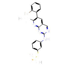 CS(=O)(=O)Sc1cccc(Nc2ncc3cc(-c4ccccc4Br)c(C(=O)O)nc3n2)c1